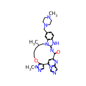 C[C@@H]1CCCOc2c(cnn2C)-c2cc(nc3cncn23)C(=O)/N=C2\Nc3ccc(CN4CCN(C)CC4)cc3N2C1